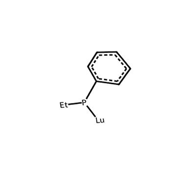 CC[P]([Lu])c1ccccc1